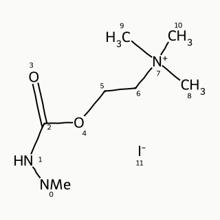 CNNC(=O)OCC[N+](C)(C)C.[I-]